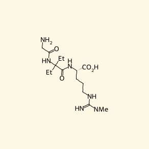 CCC(CC)(NC(=O)CN)C(=O)N[C@@H](CCCNC(=N)NC)C(=O)O